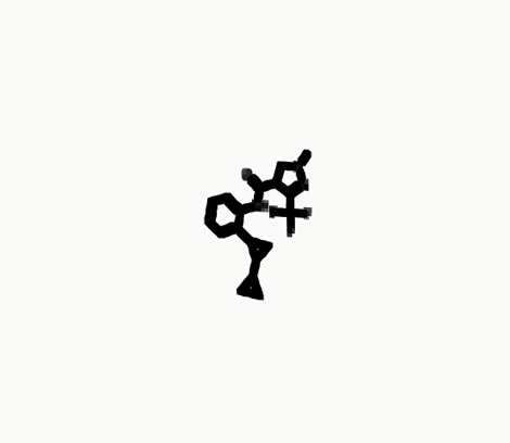 CN1CC(C(=O)Nc2ccccc2C2CC2C2CC2)C(C(F)(F)F)=N1